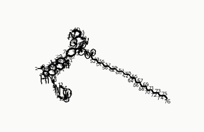 C=C(C)[C@@H]1CC[C@]2(NCCN3CCS(=O)(=O)CC3)CC[C@]3(C)[C@H](CC[C@@H]4[C@@]5(C)CC=C(C6=CC[C@@](COc7ncccc7C#N)(C(=O)OCOC(=O)CCCCCCCCCCCCCCCCCCCCCCCCC)CC6)C(C)(C)[C@@H]5CC[C@]43C)[C@@H]12